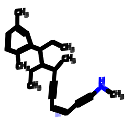 CCC(c1cc(C)ccc1C)C(CC)C(C)C#C/C=C\C#CNC